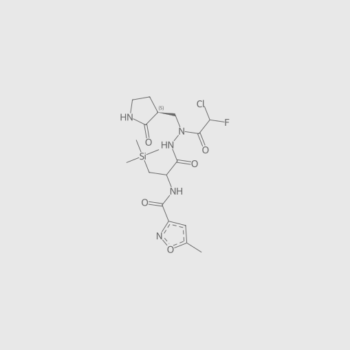 Cc1cc(C(=O)NC(C[Si](C)(C)C)C(=O)NN(C[C@@H]2CCNC2=O)C(=O)C(F)Cl)no1